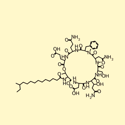 CCC(C)CCCCCCCCCCC(=O)NC1C(=O)NC(CC(=O)O)C(=O)NC(C(O)CC(N)=O)C(=O)NC(CO)C(=O)N(C)C(CC(N)=O)C(=O)N(C)C(Cc2ccccc2)C(=O)NC(CCC(N)=O)C(=O)NC(CCC(=O)O)C(=O)OC1C